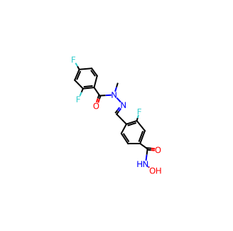 CN(N=Cc1ccc(C(=O)NO)cc1F)C(=O)c1ccc(F)cc1F